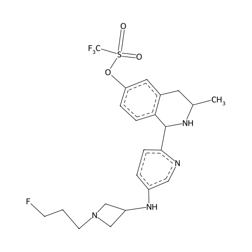 CC1Cc2cc(OS(=O)(=O)C(F)(F)F)ccc2C(c2ccc(NC3CN(CCCF)C3)cn2)N1